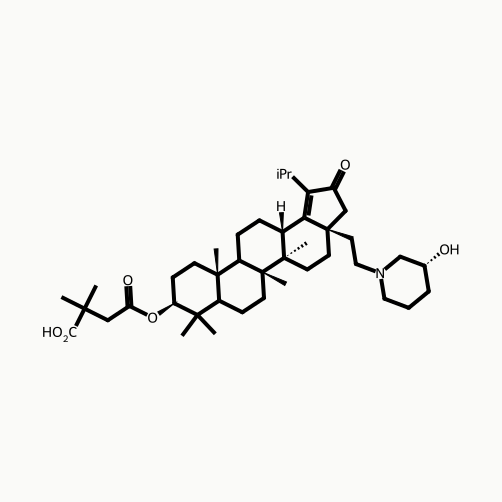 CC(C)C1=C2[C@H]3CCC4[C@@]5(C)CC[C@H](OC(=O)CC(C)(C)C(=O)O)C(C)(C)C5CC[C@@]4(C)[C@]3(C)CC[C@@]2(CCN2CCC[C@@H](O)C2)CC1=O